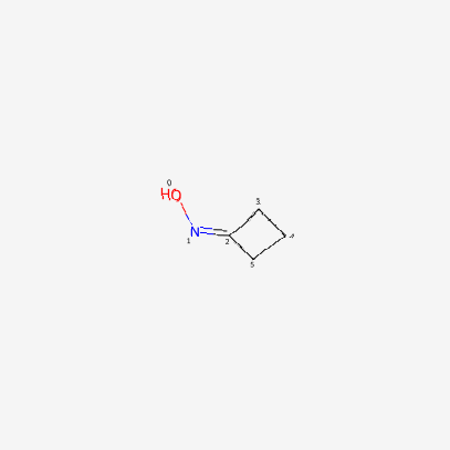 ON=C1CCC1